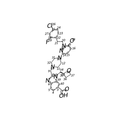 O=C(O)c1ccc2nc(CN3CCN(c4ccc(=O)n(CCc5ccc(Cl)cc5F)n4)CC3)n(C[C@@H]3CCO3)c2c1